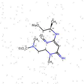 C=N/C(=C\C(=N)N(C)CCN(C)C(=O)OCC)N[C@H](C)COC